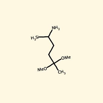 COC(C)(CCC(N)[SiH3])OC